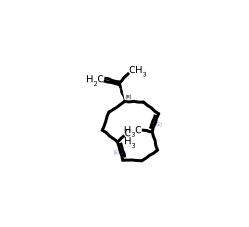 C=C(C)[C@H]1C/C=C(\C)CC/C=C(\C)CC1